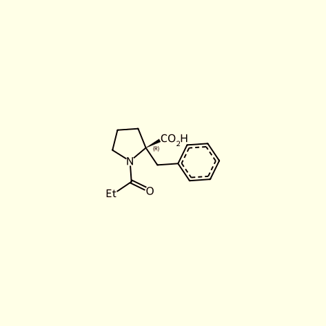 CCC(=O)N1CCC[C@@]1(Cc1ccccc1)C(=O)O